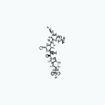 CC#Cc1cc(OC(F)(F)F)cc(C(C)(C)c2cc(Cl)cc(NC(=O)c3cc4cc(C(C)(C)S(C)(=O)=O)ccc4s3)c2)c1